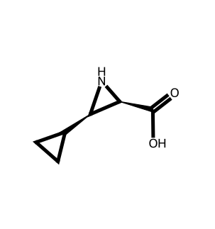 O=C(O)[C@@H]1N[C@@H]1C1CC1